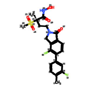 Cc1ccc(-c2ccc3c(c2F)CN(CC[C@](C)(C(=O)NO)S(C)(=O)=O)C3=O)cc1F